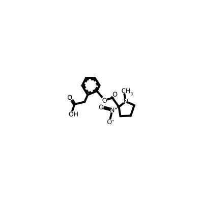 CN1CCCC1(C(=O)Oc1ccccc1CC(=O)O)[N+](=O)[O-]